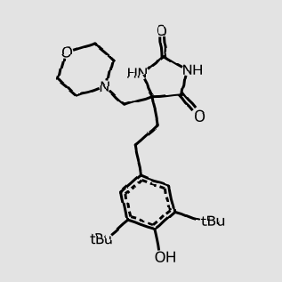 CC(C)(C)c1cc(CCC2(CN3CCOCC3)NC(=O)NC2=O)cc(C(C)(C)C)c1O